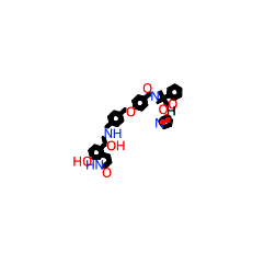 O=C(c1ccc(OCc2ccc(CNCC(O)c3ccc(O)c4[nH]c(=O)ccc34)cc2)cc1)N1CC(C(=O)O[C@H]2CN3CCC2CC3)(c2ccccc2)C1